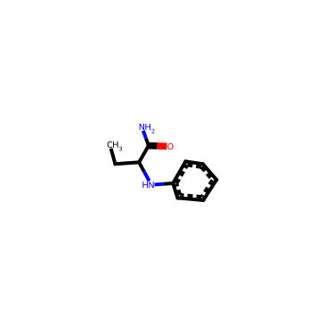 CCC(Nc1ccccc1)C(N)=O